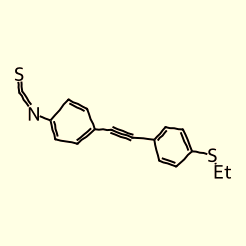 CCSc1ccc(C#Cc2ccc(N=C=S)cc2)cc1